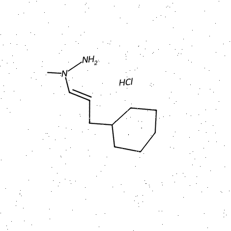 CN(N)C=CCC1CCCCC1.Cl